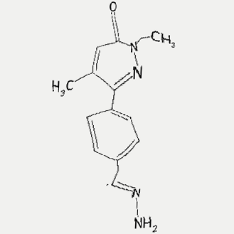 Cc1cc(=O)n(C)nc1-c1ccc(/[C]=N/N)cc1